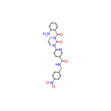 Nc1ccccc1C(=O)N1CC=CN(c2ccc(C(=O)NCc3ccc([N+](=O)[O-])cc3)cn2)C1=O